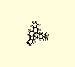 [2H]C(C)(C)c1ccnc(-c2cc3ccccc3c3ccc4c5ccccc5oc4c23)c1